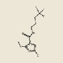 COc1nc(Cl)cn1C(=O)NCCCC(F)(F)F